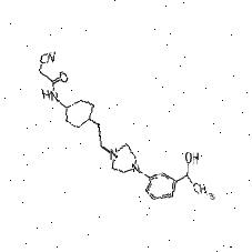 CC(O)c1cccc(N2CCN(CCC3CCC(NC(=O)CC#N)CC3)CC2)c1